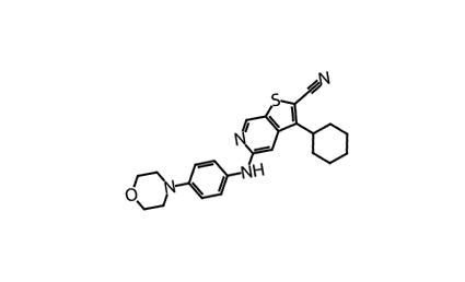 N#Cc1sc2cnc(Nc3ccc(N4CCOCC4)cc3)cc2c1C1CCCCC1